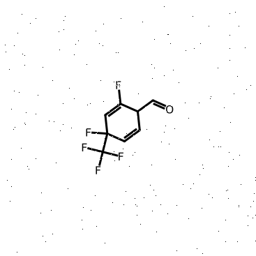 O=CC1C=CC(F)(C(F)(F)F)C=C1F